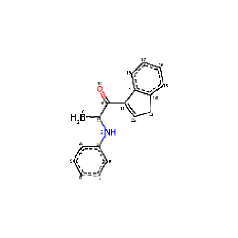 BC(Nc1ccccc1)C(=O)C1=CCc2ccccc21